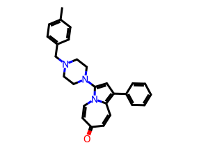 Cc1ccc(CN2CCN(c3cc(-c4ccccc4)c4ccc(=O)ccn34)CC2)cc1